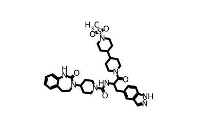 CS(=O)(=O)N1CCC(C2CCN(C(=O)C(Cc3ccc4[nH]ncc4c3)NC(=O)N3CCC(N4CCc5ccccc5NC4=O)CC3)CC2)CC1